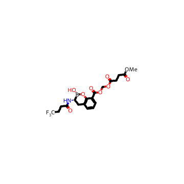 COC(=O)CCC(=O)OCOC(=O)c1cccc2c1OB(O)[C@@H](NC(=O)CCC(F)(F)F)C2